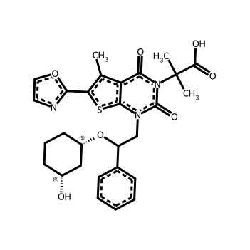 Cc1c(-c2ncco2)sc2c1c(=O)n(C(C)(C)C(=O)O)c(=O)n2CC(O[C@H]1CCC[C@@H](O)C1)c1ccccc1